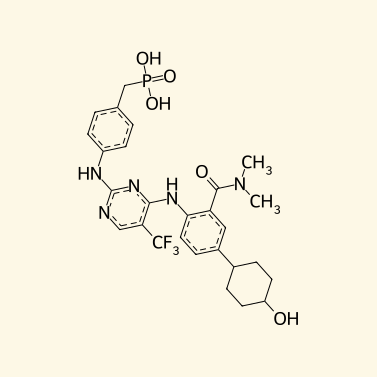 CN(C)C(=O)c1cc(C2CCC(O)CC2)ccc1Nc1nc(Nc2ccc(CP(=O)(O)O)cc2)ncc1C(F)(F)F